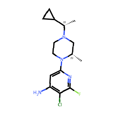 C[C@@H](C1CC1)N1CCN(c2cc(N)c(Cl)c(F)n2)[C@@H](C)C1